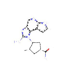 CC[C@@H]1C[C@H](C(N)=O)C[C@@H]1n1c(N)nc2cnc3[nH]ccc3c21